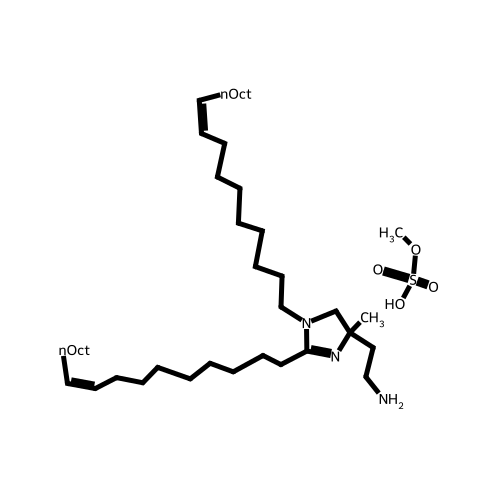 CCCCCCCC/C=C\CCCCCCCCC1=NC(C)(CCN)CN1CCCCCCCC/C=C\CCCCCCCC.COS(=O)(=O)O